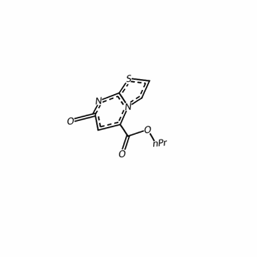 CCCOC(=O)c1cc(=O)nc2sccn12